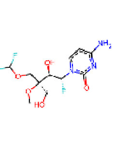 CO[C@@](CO)(COC(F)F)[C@@H](O)[C@@H](F)n1ccc(N)nc1=O